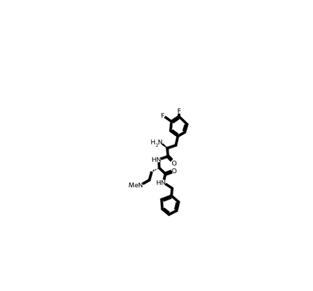 CNCC[C@H](NC(=O)[C@@H](N)Cc1ccc(F)c(F)c1)C(=O)NCc1ccccc1